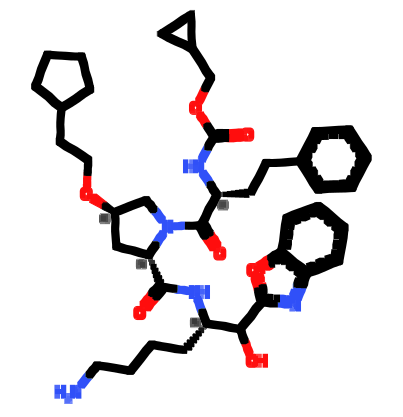 NCCCC[C@H](NC(=O)[C@@H]1C[C@@H](OCCC2CCCC2)CN1C(=O)[C@@H](CCc1ccccc1)NC(=O)OCC1CC1)C(O)c1nc2ccccc2o1